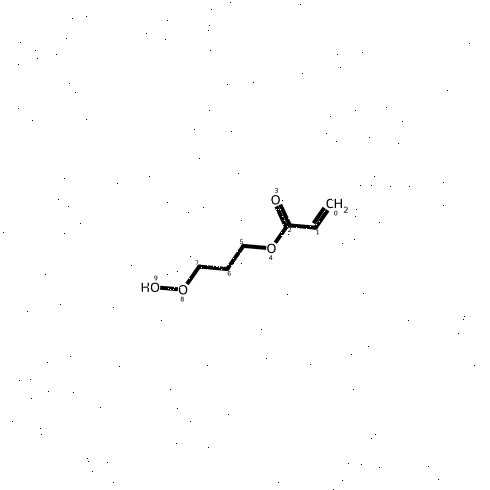 C=CC(=O)OCCCOO